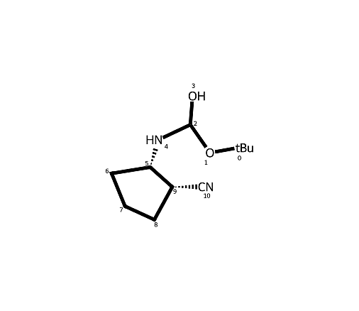 CC(C)(C)OC(O)N[C@H]1CCC[C@H]1C#N